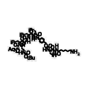 CC(=O)N1CCC[C@H]1C(=O)N[C@@H](CC(C)C)C(=O)N(CCCCNC(=O)OC(C)(C)C)CC(=O)N[C@@H](CC(C)C)C(=O)N[C@@H](CC(C)C)C(=O)Nc1ccc(COC(=O)N[C@H](CC(C)C)C(=O)NNC(=O)CCCCCN)cc1